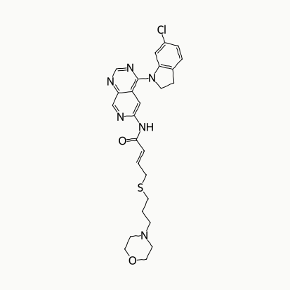 O=C(C=CCSCCCN1CCOCC1)Nc1cc2c(N3CCc4ccc(Cl)cc43)ncnc2cn1